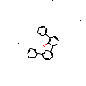 c1ccc(-c2cccc3c2oc2c(-c4ccccc4)cccc23)cc1